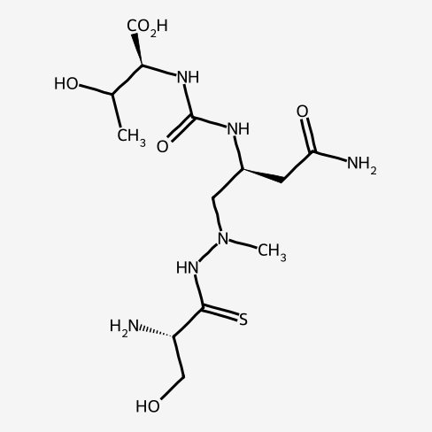 CC(O)[C@H](NC(=O)N[C@@H](CC(N)=O)CN(C)NC(=S)[C@@H](N)CO)C(=O)O